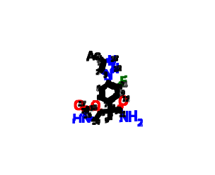 CC(=O)c1cn(-c2ccc(C(C)(C(N)=O)C3CNC(=O)O3)cc2F)nn1